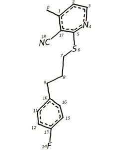 Cc1ccnc(SCCCc2ccc(F)cc2)c1C#N